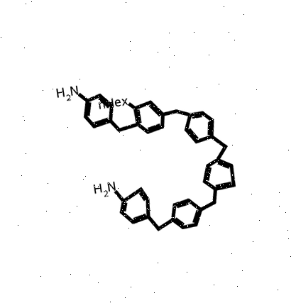 CCCCCCc1cc(Cc2ccc(Cc3ccc(Cc4ccc(Cc5ccc(N)cc5)cc4)cc3)cc2)ccc1Cc1ccc(N)cc1